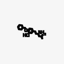 CC(C)CC(N)CCc1ccc(OCC2CCCCC2)cc1.Cl